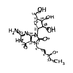 COC(=O)/C=C/Cn1c(=O)n(C2OC(CO)C(O)C2O)c2nc(N)[nH]c(=O)c21